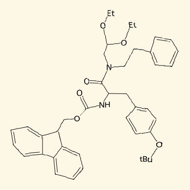 CCOC(CN(CCc1ccccc1)C(=O)C(Cc1ccc(OC(C)(C)C)cc1)NC(=O)OCC1c2ccccc2-c2ccccc21)OCC